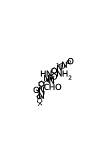 C[C@H]1CN(C2COC2)CCN1c1ccc(Nc2nc(-c3cccc(N4CCn5c(cc6c5CC(C)(C)C6)C4=O)c3C=O)cn(C)c2=O)cc1N